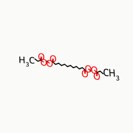 CCCC(=O)OCOC(=O)CCCCCCCCCCC(=O)OCOC(=O)CCC